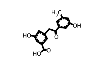 Cc1cc(O)cc(C(=O)Cc2cc(O)cc(C(=O)O)c2)c1